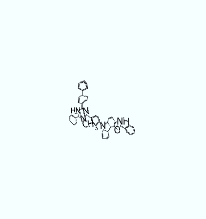 CN1C(C2=CC=CCC2)NC(C2=CCC(c3ccccc3)C=C2)=NC1c1ccc(N2C3C=CC=CC3C3C4=C(C=CC32)NC(c2ccccc2)O4)cc1